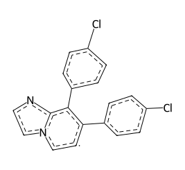 Clc1ccc(-c2[c]cn3ccnc3c2-c2ccc(Cl)cc2)cc1